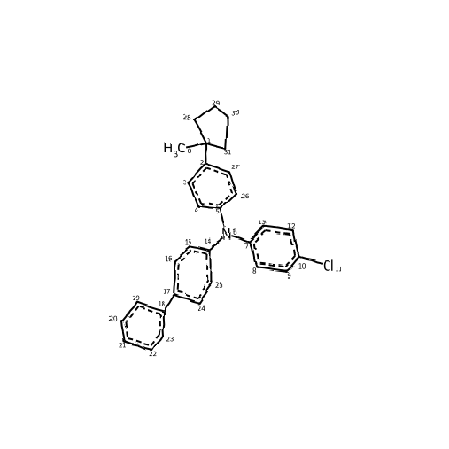 CC1(c2ccc(N(c3ccc(Cl)cc3)c3ccc(-c4ccccc4)cc3)cc2)CCCC1